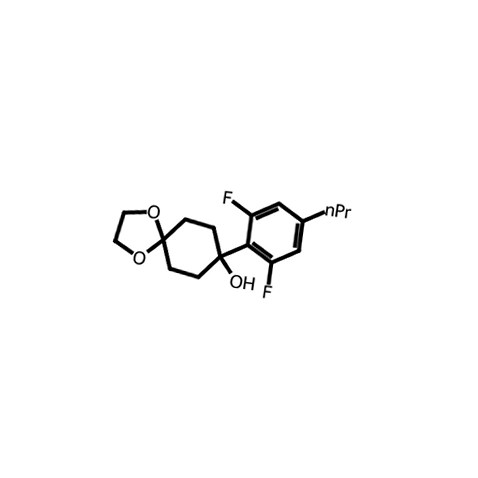 CCCc1cc(F)c(C2(O)CCC3(CC2)OCCO3)c(F)c1